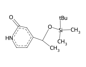 CC(O[Si](C)(C)C(C)(C)C)c1cc[nH]c(=O)c1